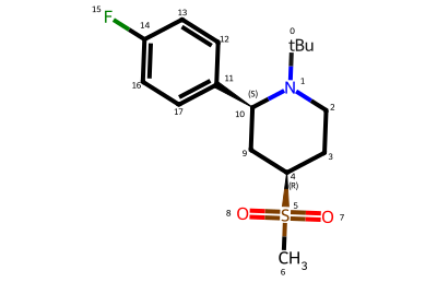 CC(C)(C)N1CC[C@@H](S(C)(=O)=O)C[C@H]1c1ccc(F)cc1